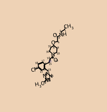 CCCNC(=O)COC1CCN(C(=O)/C=C/c2ccc(Cl)cc2Cn2nnc(C)n2)CC1